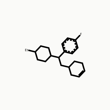 CCC1CCC(C(CC2CC=CCC2)c2ccc(F)cc2)CC1